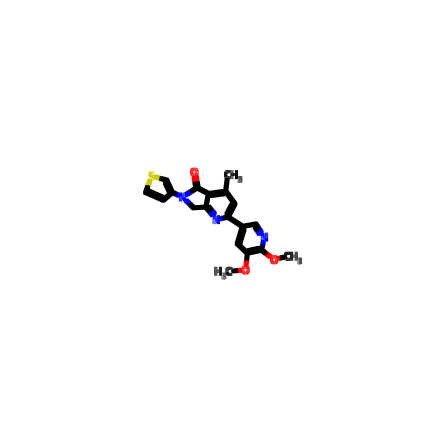 COc1cc(-c2cc(C)c3c(n2)CN(c2ccsc2)C3=O)cnc1OC